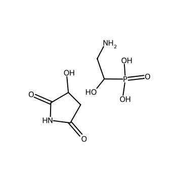 NCC(O)P(=O)(O)O.O=C1CC(O)C(=O)N1